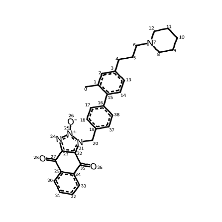 Cc1cc(CCCN2CCCCC2)ccc1-c1ccc(Cn2c3c(n[n+]2[O-])C(=O)c2ccccc2C3=O)cc1